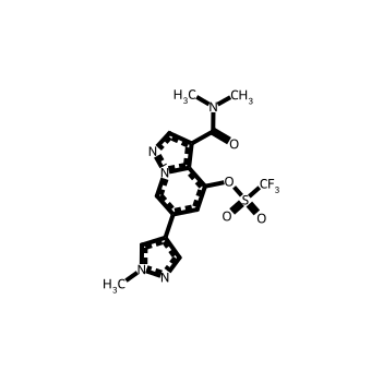 CN(C)C(=O)c1cnn2cc(-c3cnn(C)c3)cc(OS(=O)(=O)C(F)(F)F)c12